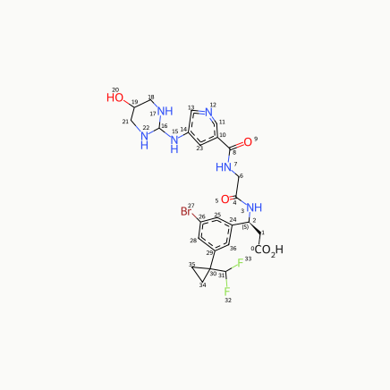 O=C(O)C[C@H](NC(=O)CNC(=O)c1cncc(NC2NCC(O)CN2)c1)c1cc(Br)cc(C2(C(F)F)CC2)c1